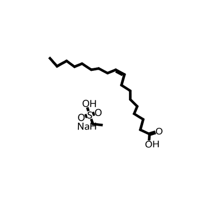 CCCCCCCC/C=C\CCCCCCCC(=O)O.CCS(=O)(=O)O.[NaH]